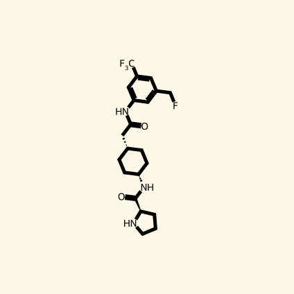 O=C(C[C@H]1CC[C@@H](NC(=O)[C@H]2CCCN2)CC1)Nc1cc(CF)cc(C(F)(F)F)c1